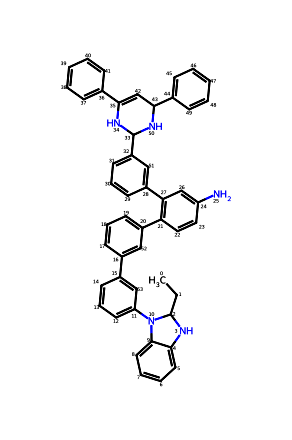 CCC1Nc2ccccc2N1c1cccc(-c2cccc(-c3ccc(N)cc3-c3cccc(C4NC(c5ccccc5)=CC(c5ccccc5)N4)c3)c2)c1